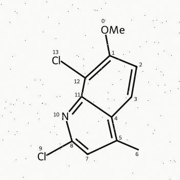 COc1ccc2c(C)cc(Cl)nc2c1Cl